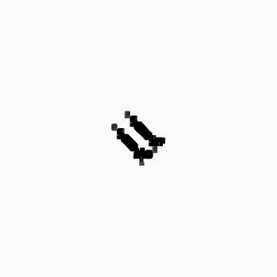 [S]=[Mo].[S]=[Sn]